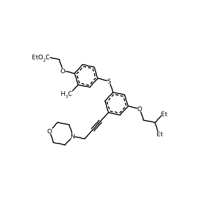 CCOC(=O)COc1ccc(Sc2cc(C#CCN3CCOCC3)cc(OCC(CC)CC)c2)cc1C